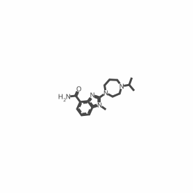 CC(C)N1CCCN(c2nc3c(C(N)=O)cccc3n2C)CC1